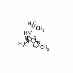 Cc1ccc2c(n1)sc1c(NCCC(C)C)nn(C)c12